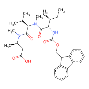 CC[C@H](C)[C@H](NC(=O)OCC1c2ccccc2-c2ccccc21)C(=O)N(C)[C@@H](C(=O)N(C)[C@H](C)CC(=O)O)C(C)C